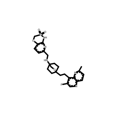 Cc1ccc2ncc(F)c(CCC34CCC(NCc5ccc6c(n5)NS(=O)(=O)CO6)(CC3)CO4)c2n1